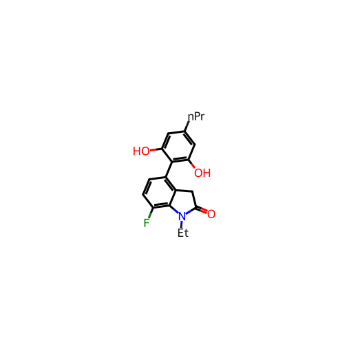 CCCc1cc(O)c(-c2ccc(F)c3c2CC(=O)N3CC)c(O)c1